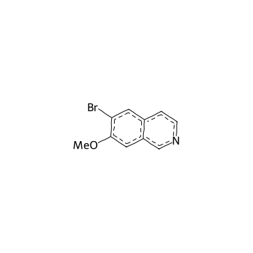 COc1cc2cnccc2cc1Br